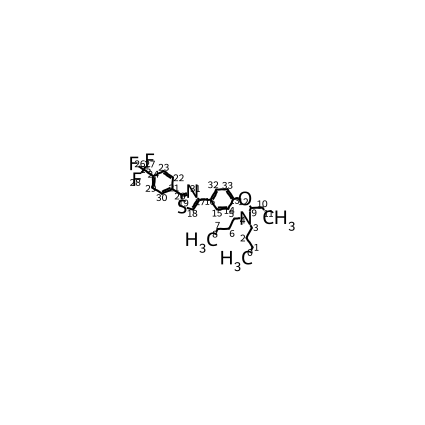 CCCCN(CCCC)C(CC)Oc1ccc(-c2csc(-c3ccc(C(F)(F)F)cc3)n2)cc1